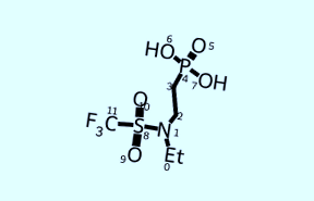 CCN(CCP(=O)(O)O)S(=O)(=O)C(F)(F)F